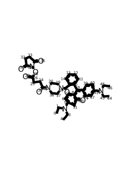 CCN(CC)c1ccc2c(-c3ccccc3C(=O)N3CCN(C(=O)CCC(=O)ON4C(=O)CCC4=O)CC3)c3ccc(N(CC)CC)cc3[o+]c2c1